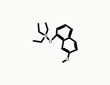 CC[Si](CC)(CC)Oc1cccc2ccc(OC)cc12